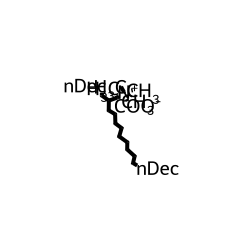 CCCCCCCCCCCCCCCCCCCC(CCCCCCCCCCC)C(C)(C(=O)[O-])[N+](C)(C)C